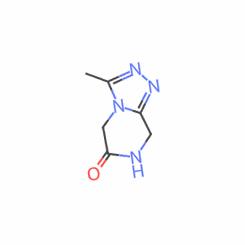 Cc1nnc2n1CC(=O)NC2